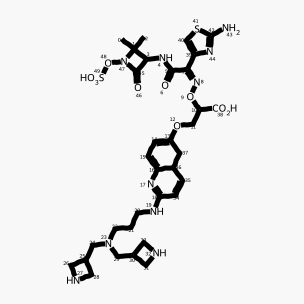 CC1(C)C(NC(=O)/C(=N\OC(COC2=CC=C3N=C(NCCCN(CC4CNC4)CC4CNC4)C=CC3C2)C(=O)O)c2csc(N)n2)C(=O)N1OS(=O)(=O)O